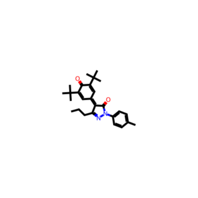 CCCC1=NN(c2ccc(C)cc2)C(=O)C1=C1C=C(C(C)(C)C)C(=O)C(C(C)(C)C)=C1